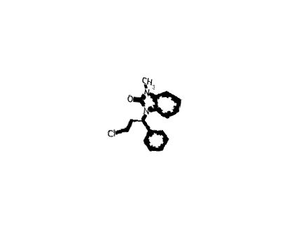 Cn1c(=O)n([C@H](CCCl)c2ccccc2)c2ccccc21